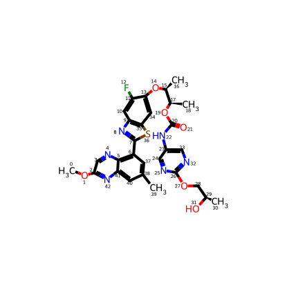 COc1cnc2c(-c3nc4cc(F)c(O[C@@H](C)[C@@H](C)OC(=O)Nc5cnc(OC[C@@H](C)O)nc5)cc4s3)cc(C)cc2n1